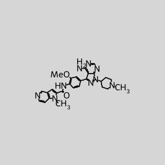 COc1cc(-c2nn(C3CCN(C)CC3)c3ncnc(N)c23)ccc1NC(=O)c1cc2cnccc2n1C